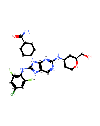 NC(=O)[C@H]1CC[C@H](n2c(Nc3c(F)cc(Cl)cc3F)nc3cnc(N[C@@H]4CCO[C@H](CO)C4)nc32)CC1